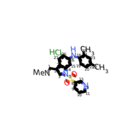 CNCc1cn(S(=O)(=O)c2cccnc2)c2cc(Nc3ccc(C)cc3C)ccc12.Cl